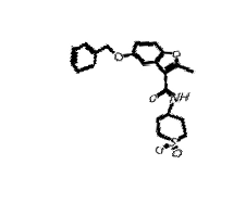 Cc1oc2ccc(OCc3ccccc3)cc2c1C(=O)NC1CCS(=O)(=O)CC1